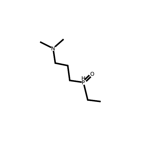 CC[PH](=O)CCCN(C)C